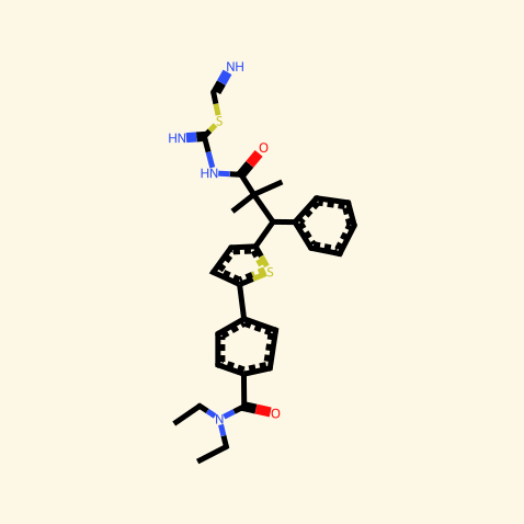 CCN(CC)C(=O)c1ccc(-c2ccc(C(c3ccccc3)C(C)(C)C(=O)NC(=N)SC=N)s2)cc1